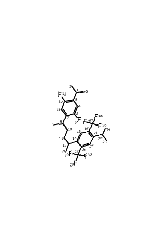 CC(C)c1cc(F)c(C(C)CCC(C)c2cc(C(F)(F)F)c(C(C)C)cc2C(F)(F)F)cc1F